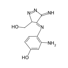 N=C1N=NC(CO)C1=Nc1ccc(O)cc1N